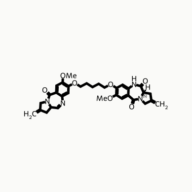 C=C1CC2C=Nc3cc(OCCCCCOc4cc5c(cc4OC)C(=O)N4CC(=C)C[C@H]4C(=O)N5)c(OC)cc3C(=O)N2C1